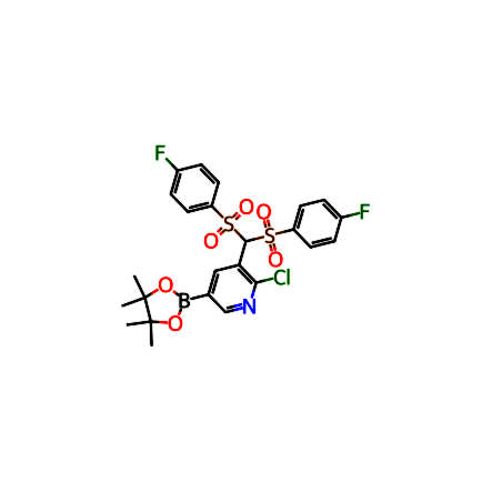 CC1(C)OB(c2cnc(Cl)c(C(S(=O)(=O)c3ccc(F)cc3)S(=O)(=O)c3ccc(F)cc3)c2)OC1(C)C